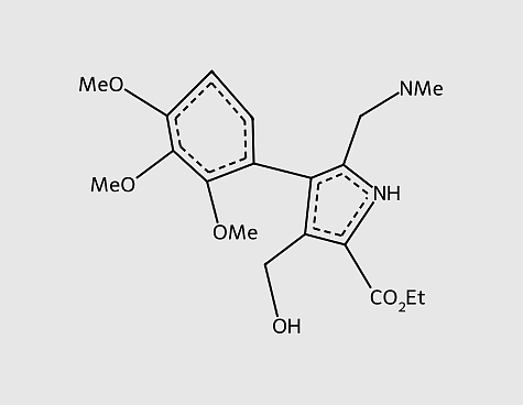 CCOC(=O)c1[nH]c(CNC)c(-c2ccc(OC)c(OC)c2OC)c1CO